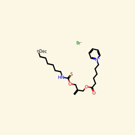 C=C(COC(=O)CCCCC[n+]1ccccc1)COC(=S)NCCCCCCCCCCCCCCCC.[Br-]